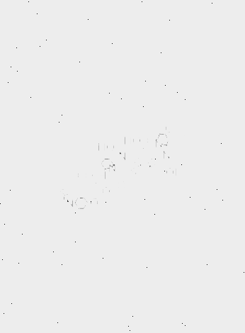 Cc1cc(CN(CCO)CCOCC(CSCCOCCOCCOc2ccc(N=C=S)cc2)OCCN(CCO)Cc2cccc(C(=O)O)n2)nc(C(=O)O)c1